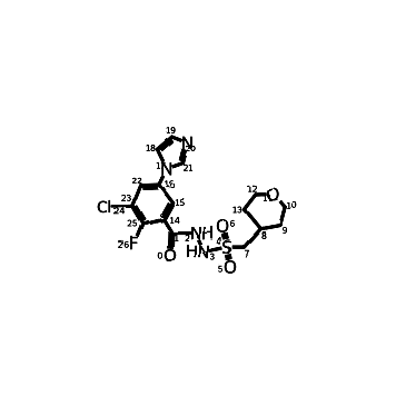 O=C(NNS(=O)(=O)CC1CCOCC1)c1cc(-n2ccnc2)cc(Cl)c1F